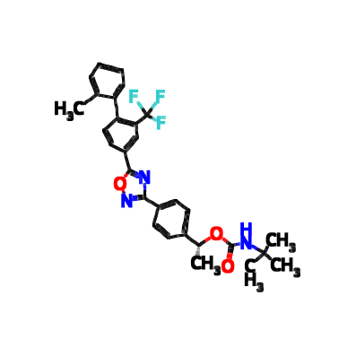 Cc1ccccc1-c1ccc(-c2nc(-c3ccc([C@@H](C)OC(=O)NC(C)(C)C)cc3)no2)cc1C(F)(F)F